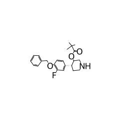 CC(C)(C)C(=O)O[C@H]1CNCC[C@@H]1c1ccc(OCc2ccccc2)c(F)c1